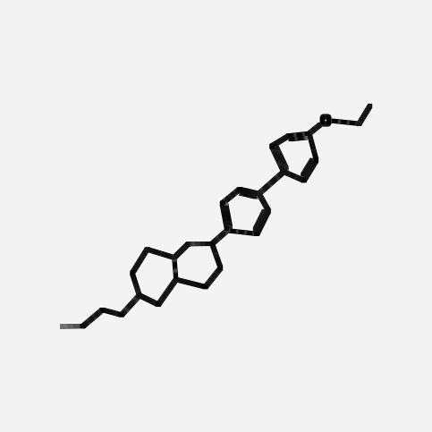 CCCCC1CCC2CC(c3ccc(-c4ccc(OCC)cc4)cc3)CCC2C1